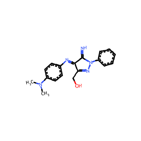 CN(C)c1ccc(N=C2C(=N)N(c3ccccc3)N=C2CO)cc1